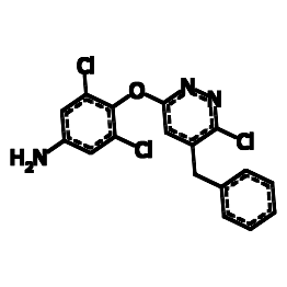 Nc1cc(Cl)c(Oc2cc(Cc3ccccc3)c(Cl)nn2)c(Cl)c1